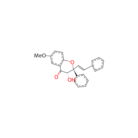 COc1ccc2c(c1)C(=O)[C@@H](O)[C@](C=Cc1ccccc1)(c1ccccc1)O2